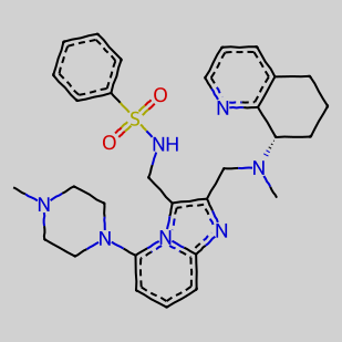 CN1CCN(c2cccc3nc(CN(C)[C@H]4CCCc5cccnc54)c(CNS(=O)(=O)c4ccccc4)n23)CC1